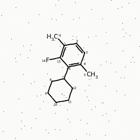 Cc1ccc(C)c(C2CCCCC2)c1F